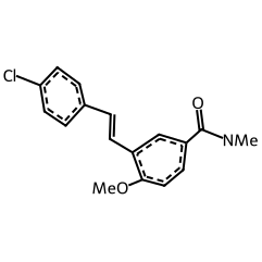 CNC(=O)c1ccc(OC)c(C=Cc2ccc(Cl)cc2)c1